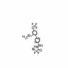 COCc1cc(OC(F)(F)F)ccc1-c1cnc(NNC(=O)C(F)(F)Br)cn1